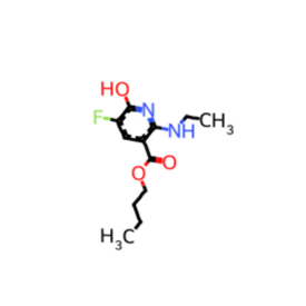 CCCCOC(=O)c1cc(F)c(O)nc1NCC